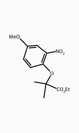 CCOC(=O)C(C)(C)Oc1ccc(OC)cc1[N+](=O)[O-]